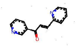 O=C(C=Cc1ccccn1)c1cccnc1